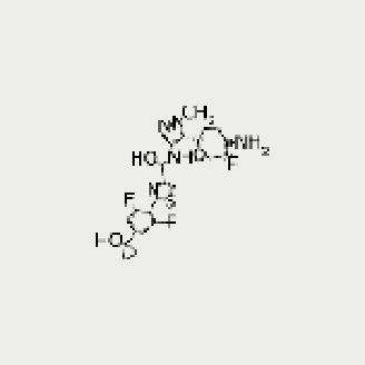 Cn1ncc(NC(O)c2csc(-c3c(F)cc(C4(O)CC4)cc3F)n2)c1[C@@H]1CC[C@@H](N)[C@H](F)CO1